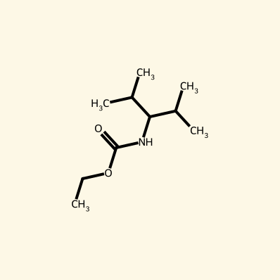 CCOC(=O)NC(C(C)C)C(C)C